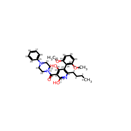 CCCCc1nc(O)c(C(=O)N2CCN(c3ccccc3)CC2)c(O)c1-c1c(OC)cccc1OC